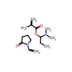 C=C(C)C(=O)OC(CC)N(C)C.C=CN1CCCC1=O